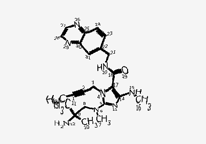 CC#CCn1c(N(C)CC(C)(C)N)nc(NC)c1C(=O)NCc1ccc2nccnc2c1